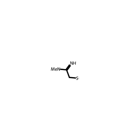 CNC(=N)C[S]